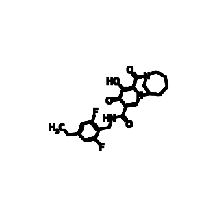 CCc1cc(F)c(CNC(=O)c2cn3c(c(O)c2=O)C(=O)N2CCCCC3C2)c(F)c1